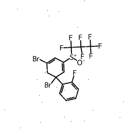 [O-][S+](C1=CC(Br)(c2ccccc2F)[CH]C(Br)=C1)C(F)(F)C(F)(F)C(F)(F)F